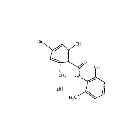 Cc1cccc(C)c1PC(=O)c1c(C)cc(C(C)(C)C)cc1C.[LiH]